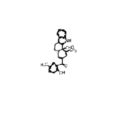 CC1=CC(C(=O)c2cc(C)ccc2O)=CN2CCc3c([nH]c4ccccc34)C12C=O